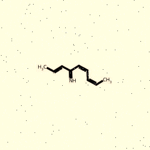 C/C=C\C=C/C(=N)/C=C/C